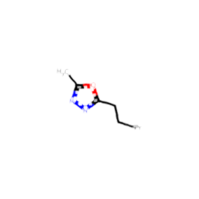 Cc1nnc(CCC(C)C)o1